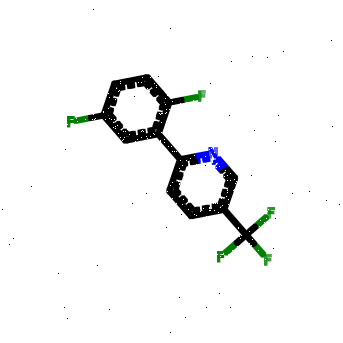 Fc1ccc(F)c(-c2ccc(C(F)(F)F)cn2)c1